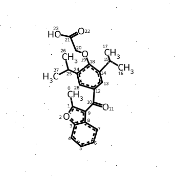 Cc1oc2ccccc2c1C(=O)c1cc(C(C)C)c(OCC(=O)O)c(C(C)C)c1